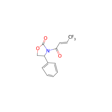 O=C(C=CC(F)(F)F)N1C(=O)OCC1c1ccccc1